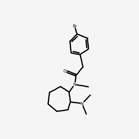 CN(C)C1CCCCCC1N(C)C(=O)Cc1ccc(Br)cc1